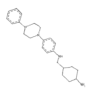 NC1CCC(CNc2ccc(N3CCN(c4ccccc4)CC3)cc2)CC1